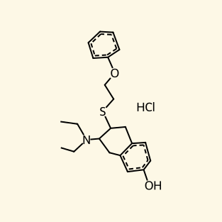 CCN(CC)C1Cc2cc(O)ccc2CC1SCCOc1ccccc1.Cl